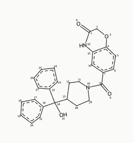 O=C1COc2ccc(C(=O)N3CCC(C(O)(c4ccccc4)c4ccccc4)CC3)cc2N1